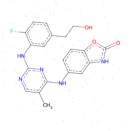 Cc1cnc(Nc2cc(CCO)ccc2F)nc1Nc1ccc2oc(=O)[nH]c2c1